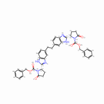 O=C1CC[C@@H](c2nc3cc(CCc4ccc5nc([C@@H]6CCC(=O)N6C(=O)OCc6ccccc6)[nH]c5c4)ccc3[nH]2)N1C(=O)OCc1ccccc1